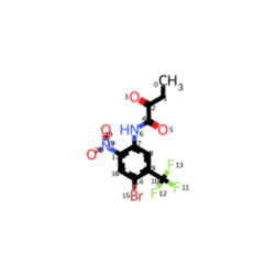 CCC(=O)C(=O)Nc1cc(C(F)(F)F)c(Br)cc1[N+](=O)[O-]